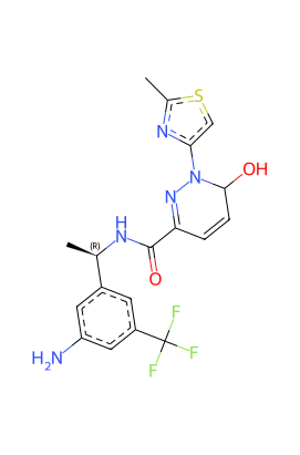 Cc1nc(N2N=C(C(=O)N[C@H](C)c3cc(N)cc(C(F)(F)F)c3)C=CC2O)cs1